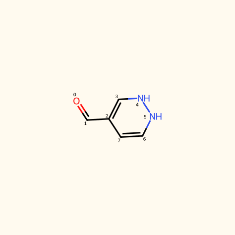 O=CC1=CNNC=C1